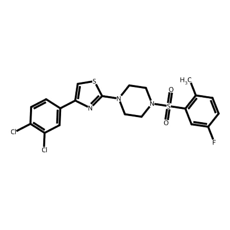 Cc1ccc(F)cc1S(=O)(=O)N1CCN(c2nc(-c3ccc(Cl)c(Cl)c3)cs2)CC1